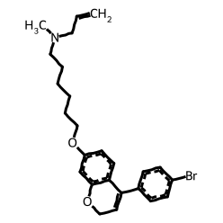 C=CCN(C)CCCCCCOc1ccc2c(c1)OCC=C2c1ccc(Br)cc1